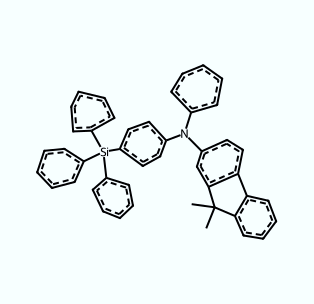 CC1(C)c2ccccc2-c2ccc(N(c3ccccc3)c3ccc([Si](c4ccccc4)(c4ccccc4)c4ccccc4)cc3)cc21